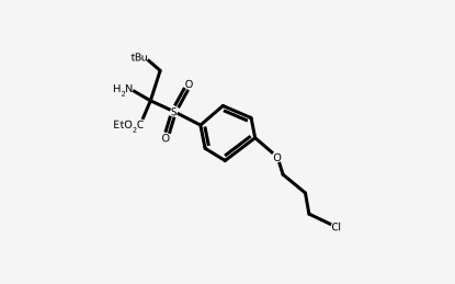 CCOC(=O)C(N)(CC(C)(C)C)S(=O)(=O)c1ccc(OCCCCl)cc1